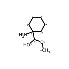 COC(O)C1(N)CCCCC1